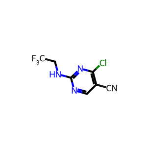 N#Cc1cnc(NCC(F)(F)F)nc1Cl